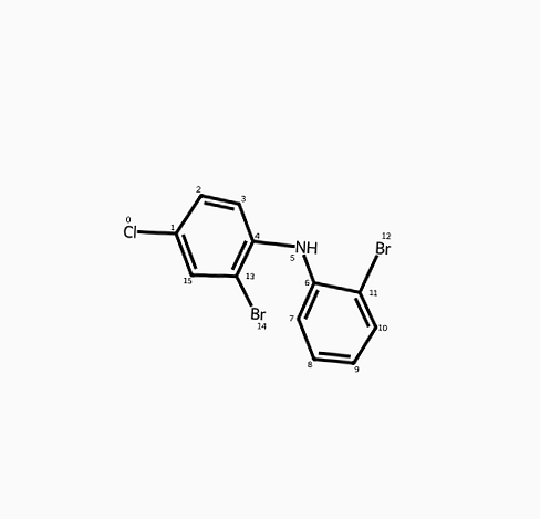 Clc1ccc(Nc2ccccc2Br)c(Br)c1